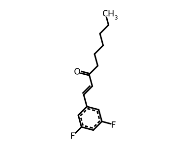 CCCCCCC(=O)C=Cc1cc(F)cc(F)c1